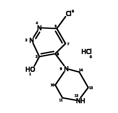 Cl.Oc1nnc(Cl)cc1N1CCNCC1